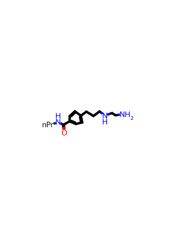 CCCNC(=O)c1ccc(CCCNCCN)cc1